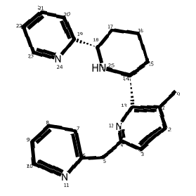 Cc1ccc(Cc2ccccn2)nc1[C@H]1CCC[C@@H](c2ccccn2)N1